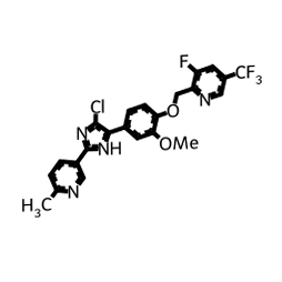 COc1cc(-c2[nH]c(-c3ccc(C)nc3)nc2Cl)ccc1OCc1ncc(C(F)(F)F)cc1F